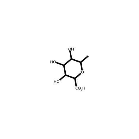 CC1OC(C(=O)O)C(O)C(O)C1O